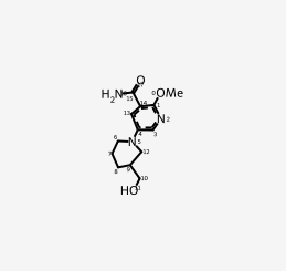 COc1ncc(N2CCCC(CO)C2)cc1C(N)=O